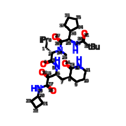 CC(C)C[C@@H](C(=O)N[C@@H](C[C@@H]1CCCNC1=O)C(=O)C(=O)NC1CCC1)N(C)C(=O)[C@H](NC(=O)C(C)(C)C)C1CCCC1